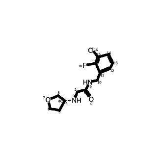 O=C(CN[C@@H]1CCOC1)NCc1cccc(Cl)c1F